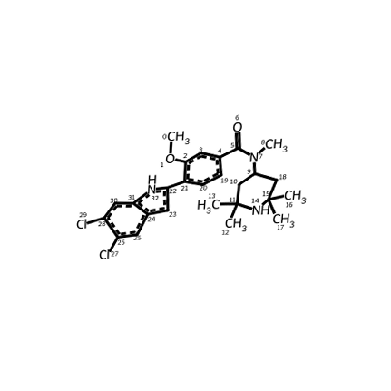 COc1cc(C(=O)N(C)C2CC(C)(C)NC(C)(C)C2)ccc1-c1cc2cc(Cl)c(Cl)cc2[nH]1